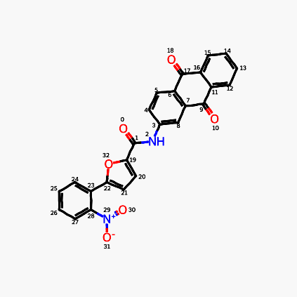 O=C(Nc1ccc2c(c1)C(=O)c1ccccc1C2=O)c1ccc(-c2ccccc2[N+](=O)[O-])o1